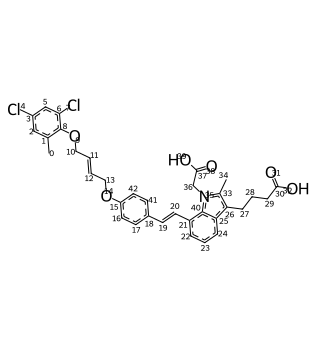 Cc1cc(Cl)cc(Cl)c1OC/C=C/COc1ccc(C=Cc2cccc3c(CCCC(=O)O)c(C)n(CC(=O)O)c23)cc1